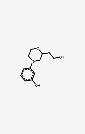 OCCC1CN(c2cccc(O)c2)CCO1